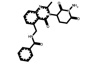 Cc1nc2cccc(CNC(=O)c3ccccc3)c2c(=O)n1C1CCC(=O)N(N)C1=O